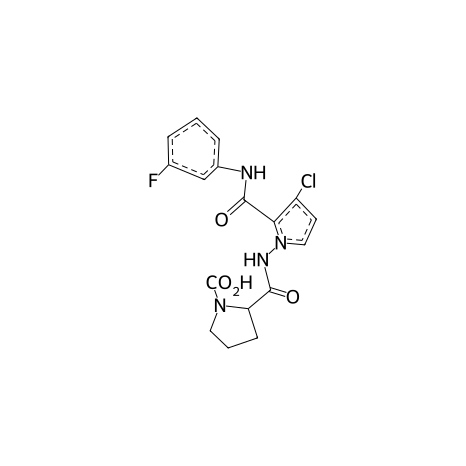 O=C(Nc1cccc(F)c1)c1c(Cl)ccn1NC(=O)C1CCCN1C(=O)O